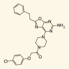 Nc1nc(N2CCN(C(=O)COc3ccc(Cl)cc3)CC2)c2nc(CCc3ccccc3)oc2n1